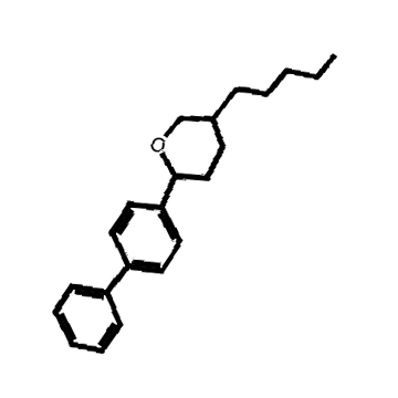 CCCCCC1CCC(c2ccc(-c3ccccc3)cc2)OC1